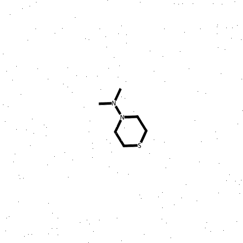 CN(C)N1CCSCC1